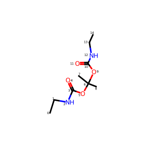 CCNC(=O)OC(C)(C)OC(=O)NCC